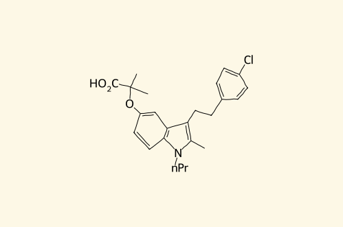 CCCn1c(C)c(CCc2ccc(Cl)cc2)c2cc(OC(C)(C)C(=O)O)ccc21